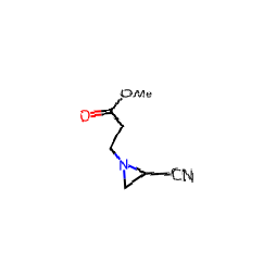 COC(=O)CCN1CC1C#N